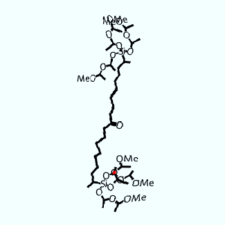 COC(C)OC(C)O[Si](OC(C)OC(C)OC)(OC(C)OC(C)OC)C(C)CCCCCCCC(=O)CCCCCCCC(C)[Si](OC(C)OC(C)OC)(OC(C)OC(C)OC)OC(C)OC(C)OC